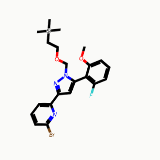 COc1cccc(F)c1-c1cc(-c2cccc(Br)n2)nn1COCC[Si](C)(C)C